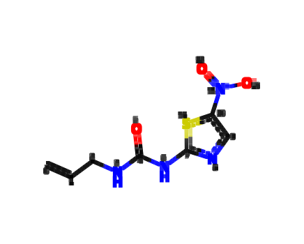 C=CCNC(=O)Nc1ncc([N+](=O)[O-])s1